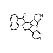 O=c1c2cccc3cccc(c4cc5c6ccncc6n6c7cnccc7c(c14)c56)c32